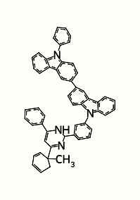 CC1(C2=NC(c3cccc(-n4c5ccccc5c5cc(-c6ccc7c(c6)c6ccccc6n7-c6ccccc6)ccc54)c3)NC(c3ccccc3)=C2)C=CC=CC1